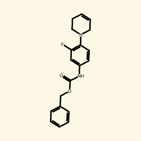 O=C(Nc1ccc(N2CC=CCC2)c(F)c1)OCc1ccccc1